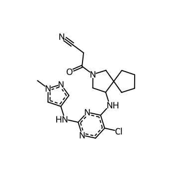 Cn1cc(Nc2ncc(Cl)c(NC3CN(C(=O)CC#N)CC34CCCC4)n2)cn1